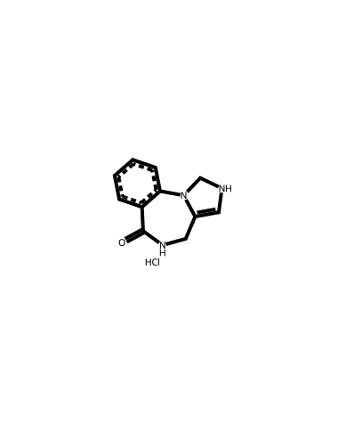 Cl.O=C1NCC2=CNCN2c2ccccc21